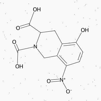 O=C(O)C1Cc2c(O)ccc([N+](=O)[O-])c2CN1C(=O)O